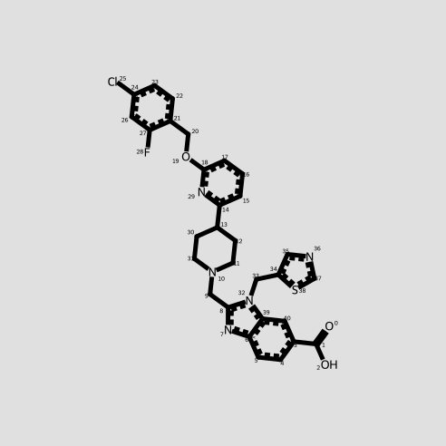 O=C(O)c1ccc2nc(CN3CCC(c4cccc(OCc5ccc(Cl)cc5F)n4)CC3)n(Cc3cncs3)c2c1